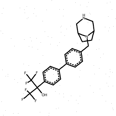 OC(c1ccc(-c2ccc(CN3C4CCC3CNC4)cc2)cc1)(C(F)(F)F)C(F)(F)F